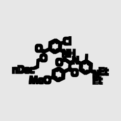 CCCCCCCCCCCCOC(=O)c1ccc(Cl)c(NC(=O)C(=Nc2ccc(N(CC)CC)cc2C)C(=O)c2ccc(OC)cc2)c1